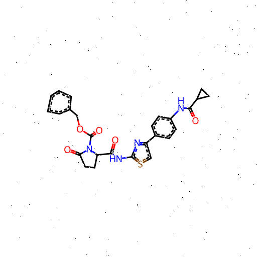 O=C(Nc1ccc(-c2csc(NC(=O)C3CCC(=O)N3C(=O)OCc3ccccc3)n2)cc1)C1CC1